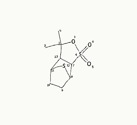 CC1(C)OS(=O)(=O)C2C3CCC(S3)C21